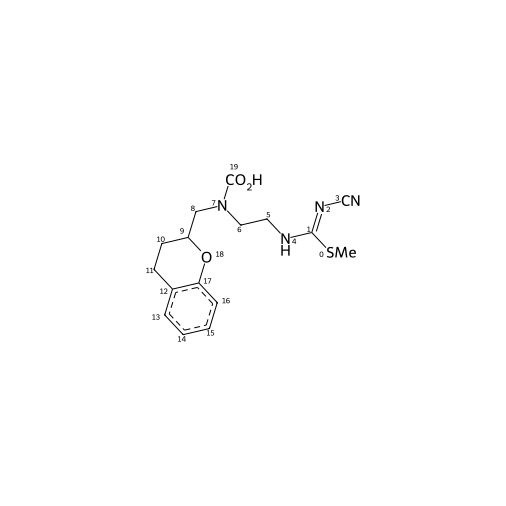 CSC(=NC#N)NCCN(CC1CCc2ccccc2O1)C(=O)O